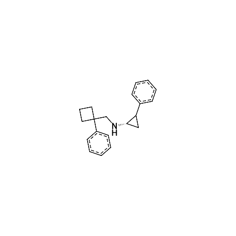 c1ccc(C2C[C@@H]2NCC2(c3ccccc3)CCC2)cc1